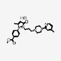 COC(=O)c1ccc(-n2c(C)cc(=O)n2CCCN2CCN(c3cc(C)ccn3)CC2)cc1.Cl